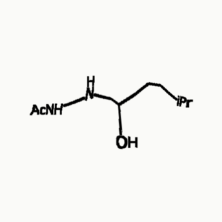 CC(=O)NNC(O)CC(C)C